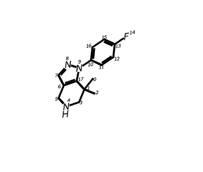 CC1(C)CNCc2cnn(-c3ccc(F)cc3)c21